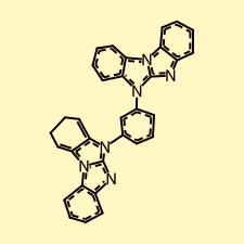 C1=c2c(n3c4ccccc4nc3n2-c2cccc(-n3c4ccccc4n4c5ccccc5nc34)c2)=CCC1